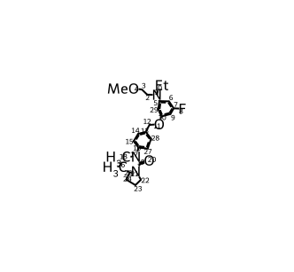 CCN(CCOC)c1cc(F)cc(OCc2ccc(N(C)C(=O)N3CCCC3C)cc2)c1